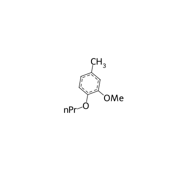 [CH2]CCOc1ccc(C)cc1OC